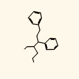 CCCC(CCl)C(CCc1ccccc1)c1ccccc1